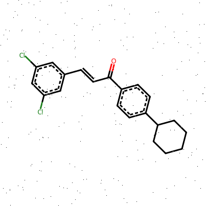 O=C(/C=C/c1cc(Cl)cc(Cl)c1)c1ccc(C2CCCCC2)cc1